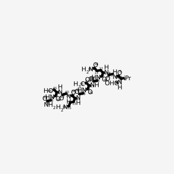 CC(C)C(NC=O)C(=O)NCC(=O)NC(CCC(N)=O)C(=O)NCC(=O)NC(C(=O)NCC(=O)NC(CCCN)C(=O)NCC(=O)NC(CO)C(=O)NCC(N)=O)C(C)O